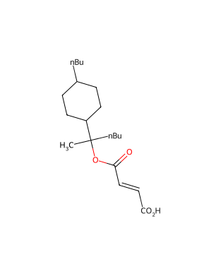 CCCCC1CCC(C(C)(CCCC)OC(=O)/C=C/C(=O)O)CC1